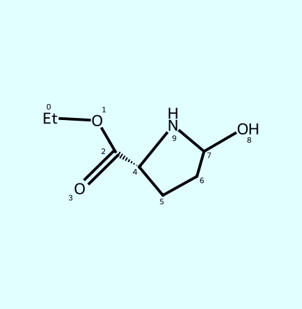 CCOC(=O)[C@H]1CCC(O)N1